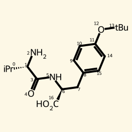 CC(C)[C@H](N)C(=O)N[C@@H](Cc1ccc(OC(C)(C)C)cc1)C(=O)O